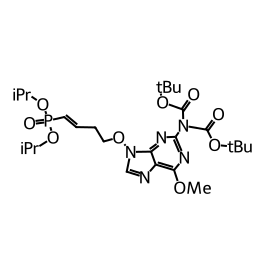 COc1nc(N(C(=O)OC(C)(C)C)C(=O)OC(C)(C)C)nc2c1ncn2OCCC=CP(=O)(OC(C)C)OC(C)C